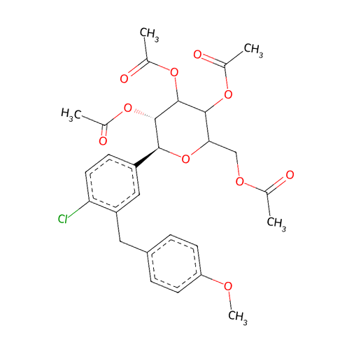 COc1ccc(Cc2cc([C@@H]3OC(COC(C)=O)C(OC(C)=O)C(OC(C)=O)[C@H]3OC(C)=O)ccc2Cl)cc1